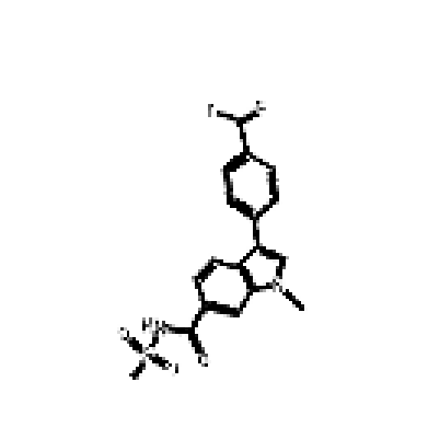 Cn1cc(-c2ccc(C(F)F)cc2)c2ccc(C(=O)NS(C)(=O)=O)cc21